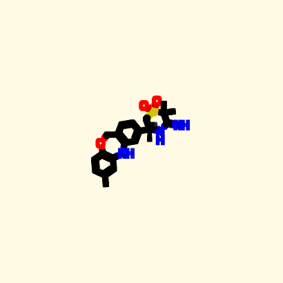 Cc1ccc2c(c1)Nc1cc([C@]3(C)CS(=O)(=O)C(C)(C)C(=N)N3)ccc1CO2